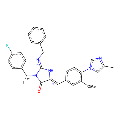 COc1cc(/C=C2\N/C(=N\Cc3ccccc3)N([C@H](C)c3ccc(F)cc3)C2=O)ccc1-n1cnc(C)c1